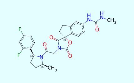 CNC(=O)Nc1ccc2c(c1)CC[C@@]21OC(=O)N(CC(=O)N2[C@@H](C)CC[C@H]2c2ccc(F)cc2F)C1=O